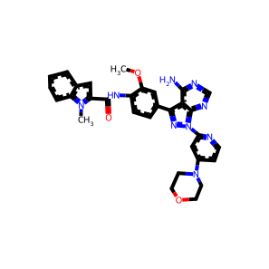 COc1cc(-c2nn(-c3cc(N4CCOCC4)ccn3)c3ncnc(N)c23)ccc1NC(=O)c1cc2ccccc2n1C